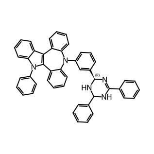 c1ccc(C2=N[C@H](c3cccc(N4c5ccccc5-c5c(n(-c6ccccc6)c6ccccc56)-c5ccccc54)c3)NC(c3ccccc3)N2)cc1